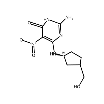 Nc1nc(N[C@H]2CCC(CO)C2)c([N+](=O)[O-])c(=O)[nH]1